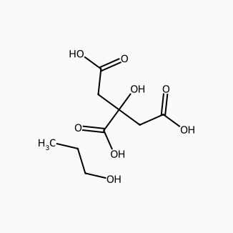 CCCO.O=C(O)CC(O)(CC(=O)O)C(=O)O